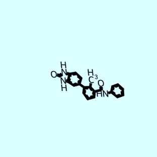 Cc1c(C(=O)Nc2ccccc2)cccc1-c1ccc2[nH]c(=O)[nH]c2c1